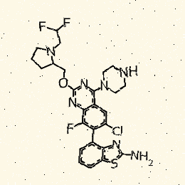 Nc1nc2c(-c3c(Cl)cc4c(N5CCNCC5)nc(OCC5CCCN5CC(F)F)nc4c3F)cccc2s1